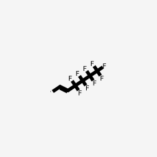 [CH2]C=CC(F)(F)C(F)(F)C(F)(F)C(F)(F)F